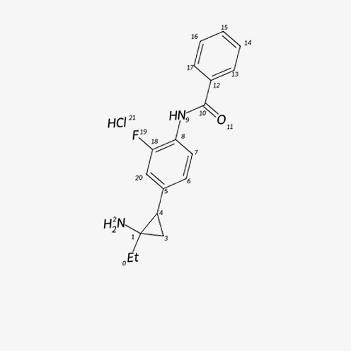 CCC1(N)CC1c1ccc(NC(=O)c2ccccc2)c(F)c1.Cl